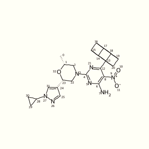 C[C@@H]1CN(c2nc(N)c([N+](=O)[O-])c(C34C5C6C7C5C3C7C64)n2)C[C@H](c2cnn(C3CC3)c2)O1